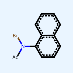 CC(=O)N(Br)c1cccc2ccccc12